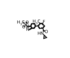 Cc1c(F)cc(C(=O)NC2CC2)cc1-c1ccc2c(cnn2S(C)(=O)=O)c1